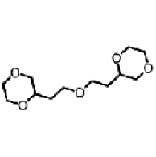 C(CC1COCCO1)OCCC1COCCO1